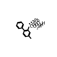 CC(=O)O.CC(=O)O.CC(=O)O.Cc1ccc(-c2ccccc2)c(C)c1.[Pb]